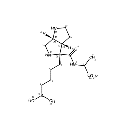 CC(NC(=O)[C@]1(CCCCB(O)O)NC[C@@H]2NCC[C@@H]21)C(=O)O